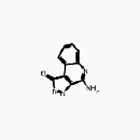 Nc1nc2ccccc2c2c1N=NC2=O